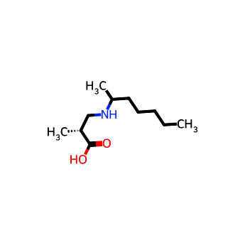 CCCCCC(C)NC[C@@H](C)C(=O)O